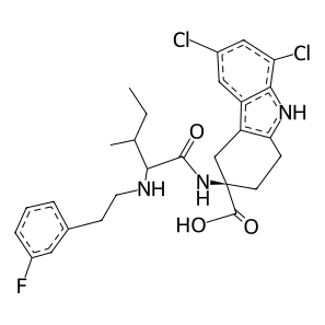 CCC(C)C(NCCc1cccc(F)c1)C(=O)N[C@]1(C(=O)O)CCc2[nH]c3c(Cl)cc(Cl)cc3c2C1